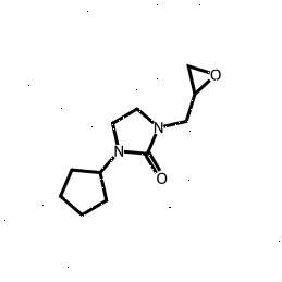 O=C1N(CC2CO2)CCN1C1CCCC1